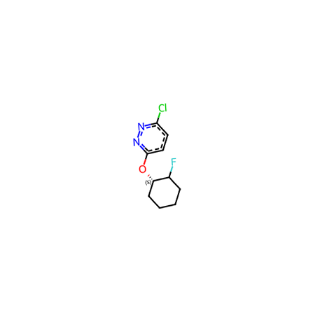 FC1CCCC[C@@H]1Oc1ccc(Cl)nn1